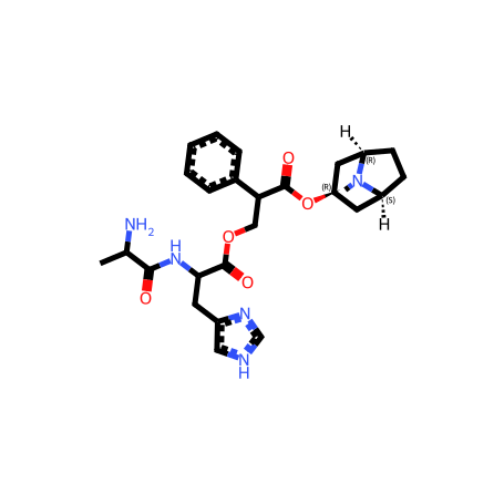 CC(N)C(=O)NC(Cc1c[nH]cn1)C(=O)OCC(C(=O)O[C@H]1C[C@H]2CC[C@@H](C1)N2C)c1ccccc1